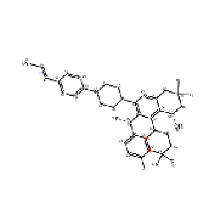 Cc1ccc([C@H](F)c2c(C3CCN(c4ncc(/C=C/C(C)C)cn4)CC3)nc3c(c2C2CCC(F)(F)CC2)[C@@H](O)CC(C)(C)C3)cc1